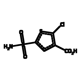 NS(=O)(=O)c1cc(C(=O)O)c(Cl)s1